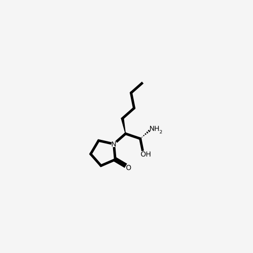 CCCC[C@@H]([C@H](N)O)N1CCCC1=O